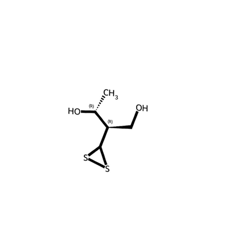 C[C@@H](O)[C@@H](CO)C1SS1